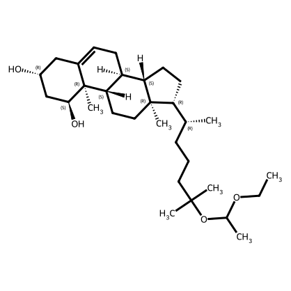 CCOC(C)OC(C)(C)CCC[C@@H](C)[C@H]1CC[C@H]2[C@@H]3CC=C4C[C@@H](O)C[C@H](O)[C@]4(C)[C@H]3CC[C@]12C